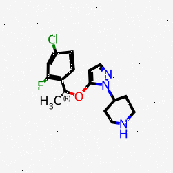 C[C@@H](Oc1ccnn1C1CCNCC1)c1ccc(Cl)cc1F